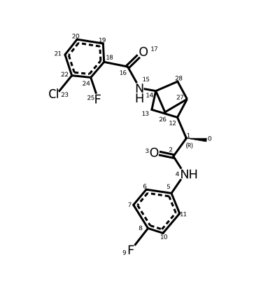 C[C@@H](C(=O)Nc1ccc(F)cc1)C1CC2(NC(=O)c3cccc(Cl)c3F)CC1C2